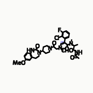 COc1ccc2c(c1)CCN(C1CCN(C(=O)CN(C=O)/C=C(\C(=O)N(C)C(C)CN[S+](C)[O-])c3cccc(F)c3Cl)CC1)C(=O)N2